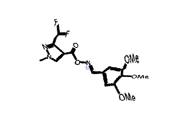 COc1cc(/C=N/OC(=O)c2cn(C)nc2C(F)F)cc(OC)c1OC